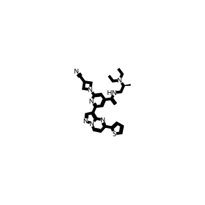 C=C(NC[C@H](C)N(CC)CC)c1cc(-c2cnn3ccc(-c4cccs4)nc23)nc(N2CC(C#N)C2)c1